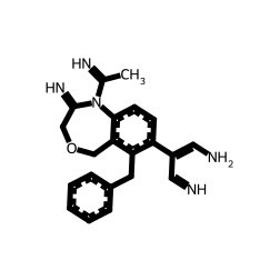 CC(=N)N1C(=N)COCc2c1ccc(/C(C=N)=C/N)c2Cc1ccccc1